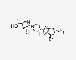 C[C@@H]1CN(c2ncc([C@@H](C)O)cc2Cl)CCN1c1nc2cc(C(F)(F)F)cc(Br)c2[nH]1